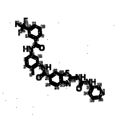 Cc1ccc(NC(=O)c2cccc(C(F)(F)F)c2)cc1NC(=O)c1ccc2nc(NC(=O)Nc3cccnc3)sc2c1